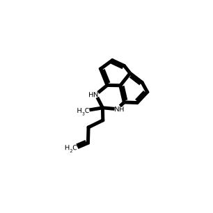 C=CCCC1(C)Nc2cccc3cccc(c23)N1